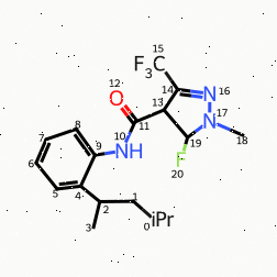 CC(C)CC(C)c1ccccc1NC(=O)C1C(C(F)(F)F)=NN(C)C1F